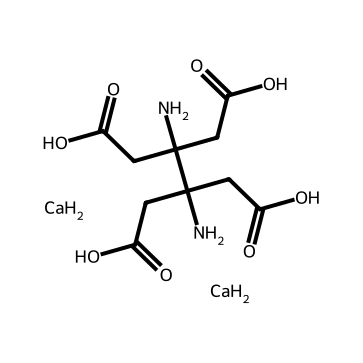 NC(CC(=O)O)(CC(=O)O)C(N)(CC(=O)O)CC(=O)O.[CaH2].[CaH2]